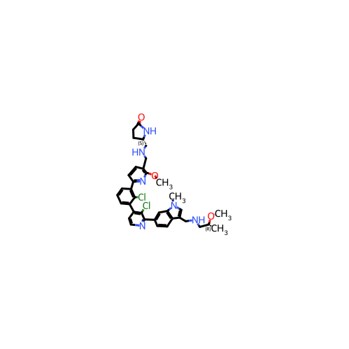 COc1nc(-c2cccc(-c3ccnc(-c4ccc5c(CNC[C@@H](C)OC)cn(C)c5c4)c3Cl)c2Cl)ccc1CNC[C@@H]1CCC(=O)N1